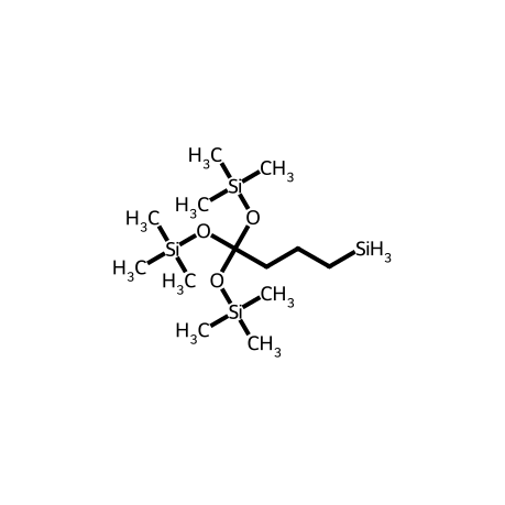 C[Si](C)(C)OC(CCC[SiH3])(O[Si](C)(C)C)O[Si](C)(C)C